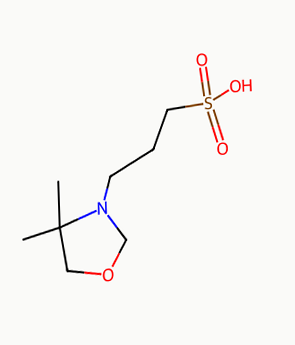 CC1(C)COCN1CCCS(=O)(=O)O